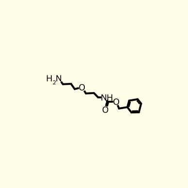 NCCCOCCCNC(=O)OCc1ccccc1